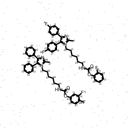 Cc1nc(-c2ccc(F)cc2)c(-c2ccc(F)cc2)n1CCCCCCNC(=O)Oc1ccccc1F.Cc1nc(-c2ccccc2)c(-c2ccccc2)n1CCCCCCNC(=O)Oc1ccc(F)c(F)c1